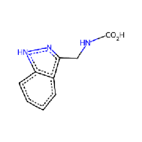 O=C(O)NCc1n[nH]c2ccccc12